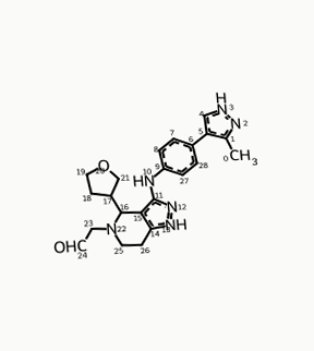 Cc1n[nH]cc1-c1ccc(Nc2n[nH]c3c2C(C2CCOC2)N(CC=O)CC3)cc1